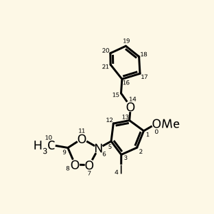 COc1cc(I)c(N2OOC(C)O2)cc1OCc1ccccc1